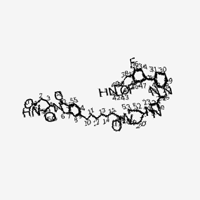 O=C1CCC(N2Cc3cc(CCCCCCC(=O)N4CCC(n5cc(-c6cnc7cccc(-c8cc(F)c(CC9CNCCO9)c(F)c8)c7n6)cn5)CC4)ccc3C2=O)C(=O)N1